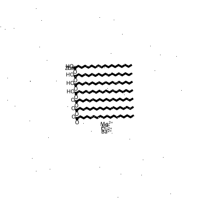 CCCCCCCCCCCCCCCCCC(=O)O.CCCCCCCCCCCCCCCCCC(=O)O.CCCCCCCCCCCCCCCCCC(=O)O.CCCCCCCCCCCCCCCCCC(=O)O.CCCCCCCCCCCCCCCCCC(=O)[O-].CCCCCCCCCCCCCCCCCC(=O)[O-].CCCCCCCCCCCCCCCCCC(=O)[O-].[Al+3].[Ba+2].[Ca+2].[Cu+2].[Mg+2].[Zn+2]